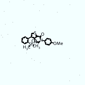 COc1ccc(-n2cnc3c(-c4cccc[c]4[Sn]([CH3])([CH3])[CH3])csc3c2=O)cc1